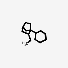 CCC1CC2CCC1(C1CCCCC1)C2